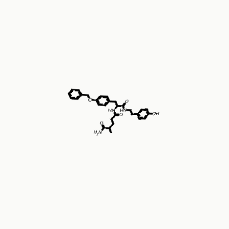 CC(C[CH]C(=O)NC(Cc1ccc(OCc2ccccc2)cc1)C(=O)NCCc1ccc(O)cc1)C(N)=O